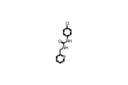 O=C(NCc1ccccn1)Nc1ccc(Cl)cc1